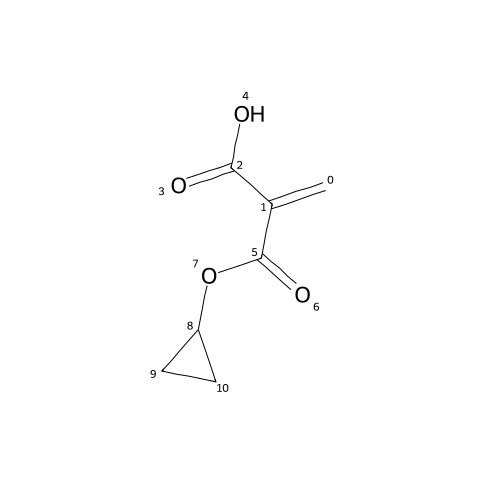 C=C(C(=O)O)C(=O)OC1CC1